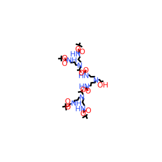 CC(O)CN(CCCNC(=O)OC(C)CN(CCCNC(=O)OC(C)(C)C)CCCNC(=O)OC(C)(C)C)CCCNC(=O)OC(C)CN(CCCNC(=O)OC(C)(C)C)CCCNC(=O)OC(C)(C)C